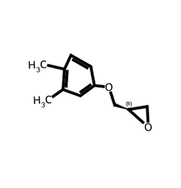 Cc1ccc(OC[C@H]2CO2)cc1C